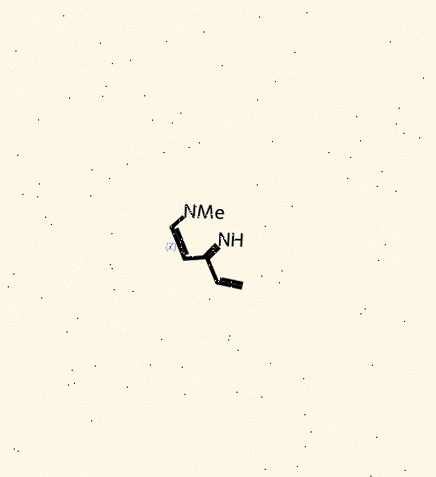 C=CC(=N)/C=C\NC